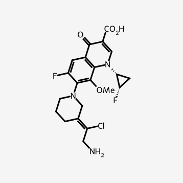 COc1c(N2CCC/C(=C(/Cl)CN)C2)c(F)cc2c(=O)c(C(=O)O)cn([C@@H]3C[C@@H]3F)c12